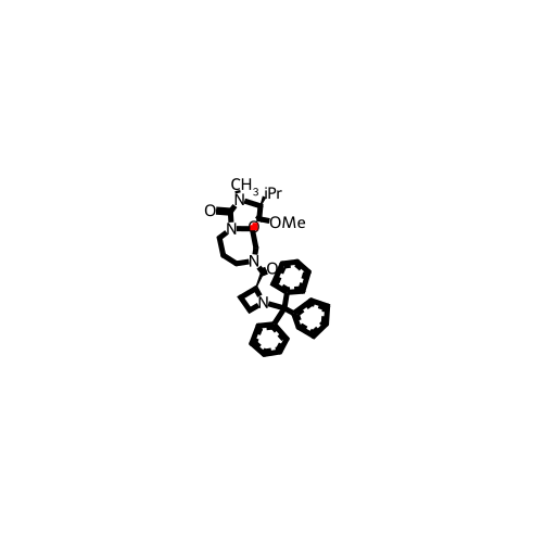 COC(=O)[C@H](C(C)C)N(C)C(=O)N1CCCN(C(=O)[C@@H]2CCN2C(c2ccccc2)(c2ccccc2)c2ccccc2)CC1